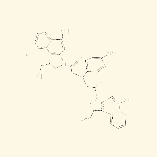 Cc1cccc2c(O)cc3c(c12)C(CCl)CN3C(=O)CC(CC(=O)N1CC(CCl)c2c1cc(O)c1ccccc21)c1ccc(N)cc1